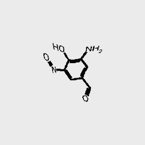 Nc1cc(C=O)cc(N=O)c1O